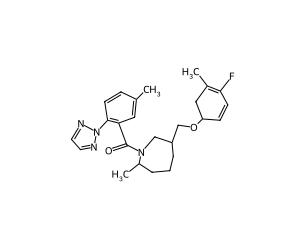 CC1=C(F)C=CC(OCC2CCCC(C)N(C(=O)c3cc(C)ccc3-n3nccn3)C2)C1